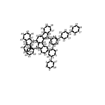 c1ccc(-c2ccc(-c3nc(-c4ccc(-c5ccccc5)cc4)nc(-n4c5ccccc5c5cc(-n6c7ccccc7c7ccccc76)c6c(c7ccccc7n6-c6ccccc6)c54)n3)cc2)cc1